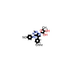 COc1ccc(-c2cn([C@@H]3O[C@H](C)[C@H](O)[C@@H]3O)c3ncnc(Nc4ccc(C#N)cc4)c23)cc1